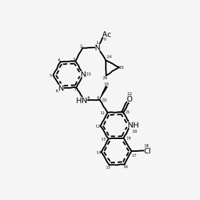 CC(=O)N(Cc1ccnc(N[C@@H](C)c2cc3cccc(Cl)c3[nH]c2=O)n1)C1CC1